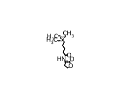 CC[Si](CC)(CC)CCCCC(=O)N[C@H]1CCOC1=O